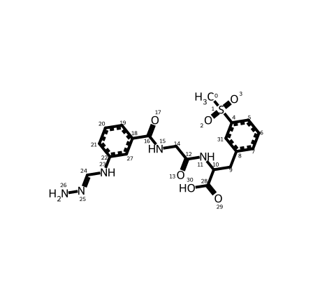 CS(=O)(=O)c1cccc(CC(NC(=O)CNC(=O)c2cccc(NC=NN)c2)C(=O)O)c1